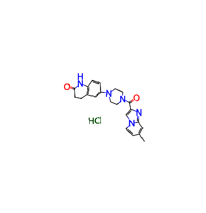 Cc1ccn2cc(C(=O)N3CCN(c4ccc5c(c4)CCC(=O)N5)CC3)nc2c1.Cl